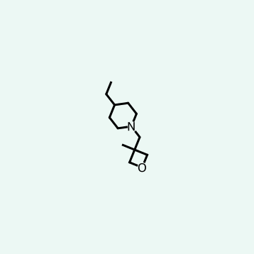 CCC1CCN(CC2(C)COC2)CC1